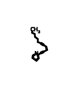 CCCCCCC#C/C=C\C#Cc1ccccn1